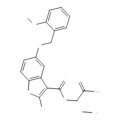 COc1ccccc1COc1ccc2oc(C)c(C(=O)N[C@@H](CO)C(N)=O)c2c1